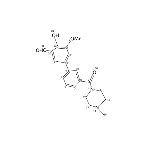 COc1cc(-c2cccc(C(=O)N3CCN(C)CC3)c2)cc(C=O)c1O